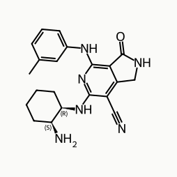 Cc1cccc(Nc2nc(N[C@@H]3CCCC[C@@H]3N)c(C#N)c3c2C(=O)NC3)c1